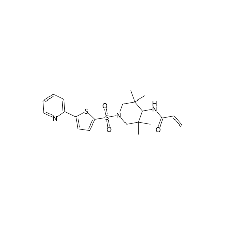 C=CC(=O)NC1C(C)(C)CN(S(=O)(=O)c2ccc(-c3ccccn3)s2)CC1(C)C